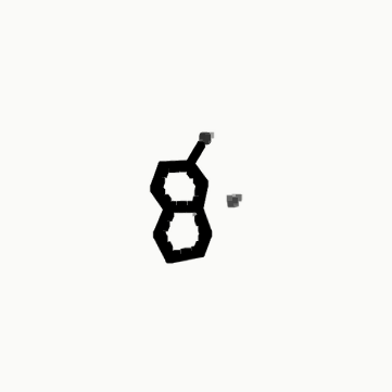 [Li+].[O-]c1ccc2ccccc2c1